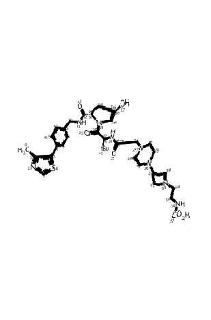 Cc1ncsc1-c1ccc(CNC(=O)[C@@H]2C[C@@H](O)CN2C(=O)[C@@H](NC(=O)CN2CCN(C3CN(CCNC(=O)O)C3)CC2)C(C)(C)C)cc1